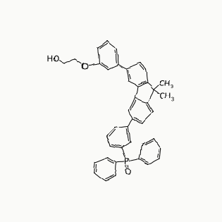 CC1(C)c2ccc(-c3cccc(OCCO)c3)cc2-c2cc(-c3cccc(P(=O)(c4ccccc4)c4ccccc4)c3)ccc21